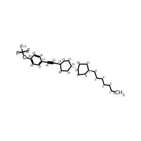 CCCCCCC[C@H]1CC[C@H](C2CCC(C#Cc3ccc(OC(F)(F)F)cc3)CC2)CC1